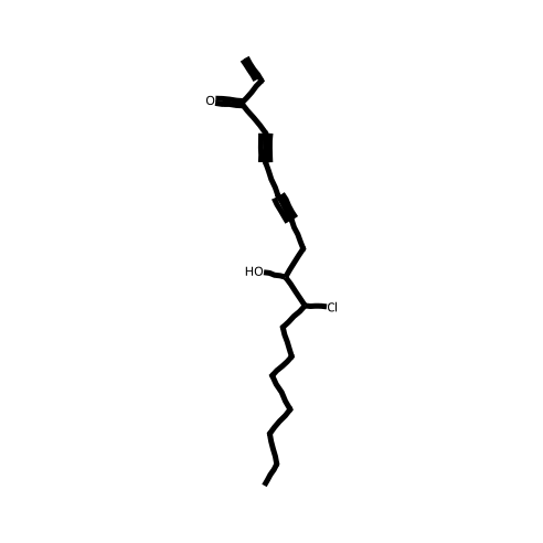 C=CC(=O)C#CC#CCC(O)C(Cl)CCCCCCC